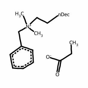 CCC(=O)[O-].CCCCCCCCCCCC[N+](C)(C)Cc1ccccc1